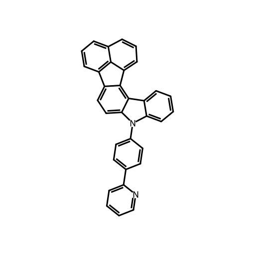 c1ccc(-c2ccc(-n3c4ccccc4c4c5c(ccc43)-c3cccc4cccc-5c34)cc2)nc1